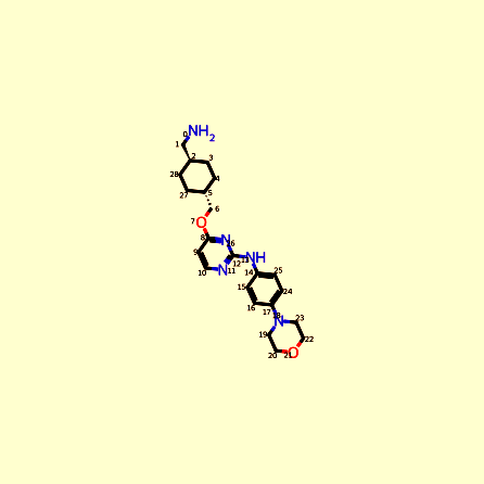 NC[C@H]1CC[C@H](COc2ccnc(Nc3ccc(N4CCOCC4)cc3)n2)CC1